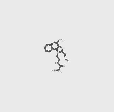 CCOCc1nc2c(N)nc3ccccc3c2n1CCNC(=O)[C@H](C)N